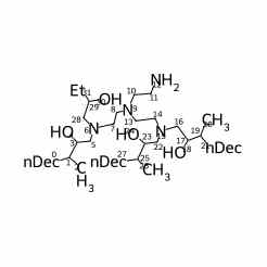 CCCCCCCCCCC(C)C(O)CN(CCN(CCN)CCN(CC(O)C(C)CCCCCCCCCC)CC(O)C(C)CCCCCCCCCC)CC(O)CC